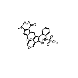 CCCc1nc(N(C)C)c(C(N)=O)n1Cc1c2ccocc-2c(Br)c1-c1ccccc1NS(=O)(=O)C(F)(F)F